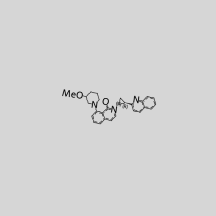 COC1CCCN(c2cccc3ccn([C@@H]4C[C@H]4c4ccc5ccccc5n4)c(=O)c23)C1